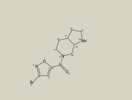 O=C(c1cc(Br)no1)N1CCC2CCNC2C1